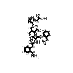 CN(C)Cc1ccccc1.NCc1ccccc1CC(=O)NC1C(=O)N2C(C(=O)O)=C(CSc3nnnn3CC(=O)O)CS[C@@H]12